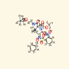 CC(C)(C)OC(=O)N1C[C@H](N(OCc2ccccc2)S(=O)(=O)c2ccccc2[N+](=O)[O-])C[C@H]2CN(CCO[Si](C)(C)C(C)(C)C)C(=O)[C@H]21